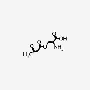 CC(=O)CC(=O)OCC(N)C(=O)O